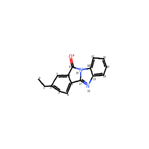 CCc1ccc2c(c1)C(=O)n1c-2nc2ccccc21